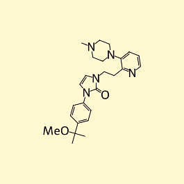 COC(C)(C)c1ccc(-n2ccn(CCc3ncccc3N3CCN(C)CC3)c2=O)cc1